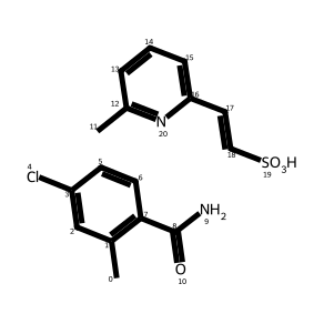 Cc1cc(Cl)ccc1C(N)=O.Cc1cccc(C=CS(=O)(=O)O)n1